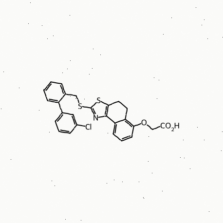 O=C(O)COc1cccc2c1CCc1sc(SCc3ccccc3-c3cccc(Cl)c3)nc1-2